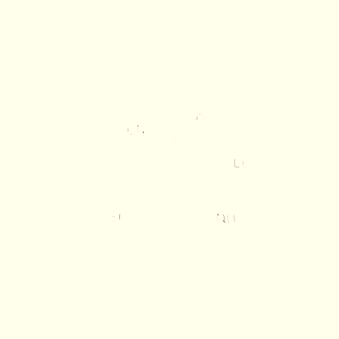 CCC(N)C(CC(C)(C)CC)C(=O)N=O